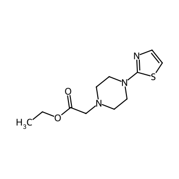 CCOC(=O)CN1CCN(c2nccs2)CC1